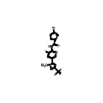 Cn1nc(C(F)(F)F)cc1-c1cnc(NC(=O)c2ccc(Cl)cc2)c(F)c1